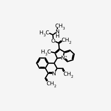 C=CC1=NC(C=C)C(C2C(C)=C(C(=C)OC(C)NC)c3cccc[n+]32)c2ccccc21